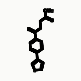 COC(=O)CCC(=O)c1ccc(-c2ccsc2)cc1